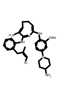 COc1cc(N2CCC(N)CC2)ccc1NC1=C/CC/C=C(N)/C(Nc2ccccc2C/C(C)=C\C(C)=O)=N\1